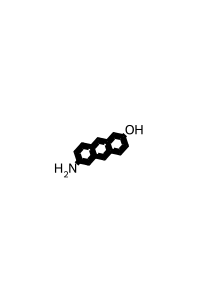 Nc1ccc2cc3cc(O)ccc3cc2c1